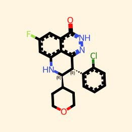 O=c1[nH]nc2c3c(cc(F)cc13)N[C@H](C1CCOCC1)[C@H]2c1ccccc1Cl